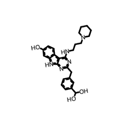 Oc1ccc2c(c1)[nH]c1nc(Cc3cccc(C(O)O)c3)nc(NCCCN3CCCCC3)c12